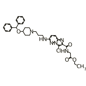 CCOC(=O)CNC(=O)c1nc2ccc(NCCCN3CCC(OC(c4ccccc4)c4ccccc4)CC3)nn2c1Cl